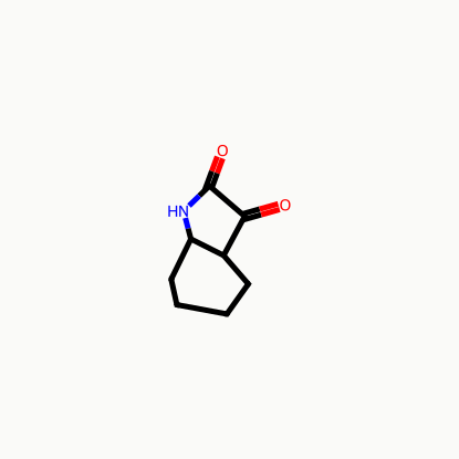 O=C1NC2CCCCC2C1=O